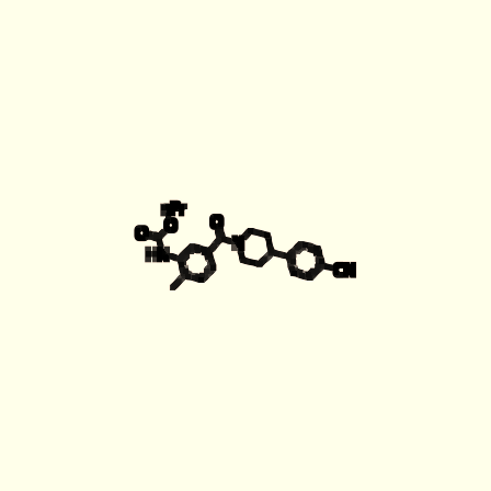 CCCOC(=O)Nc1cc(C(=O)N2CCC(c3ccc(C#N)cc3)CC2)ccc1C